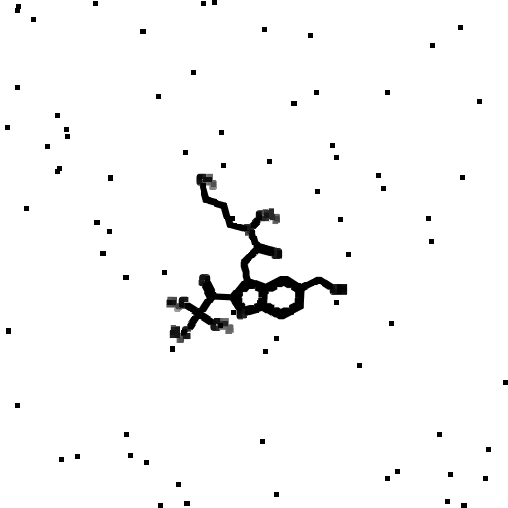 CCCCN(C)C(=O)Cc1c(C(=O)C(C)(C)C)oc2ccc(CO)cc12